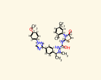 CC(c1ccc(-c2ncn(-c3ccc(OC(F)(F)F)cc3)n2)cc1)N(C)NC(O)/N=C1\SCC(=O)N1c1cc(C(F)(F)F)ccc1C(F)(F)F